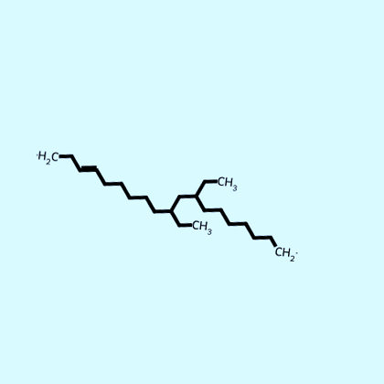 [CH2]CC=CCCCCCC(CC)CC(CC)CCCCCC[CH2]